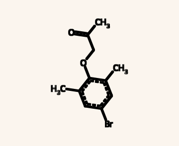 CC(=O)COc1c(C)cc(Br)cc1C